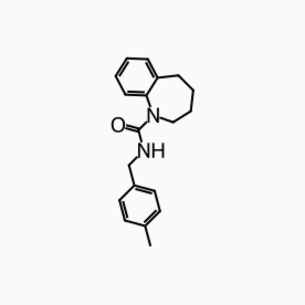 Cc1ccc(CNC(=O)N2CCCCc3ccccc32)cc1